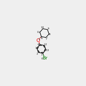 Brc1ccc(OC2[CH]CCCC2)cc1